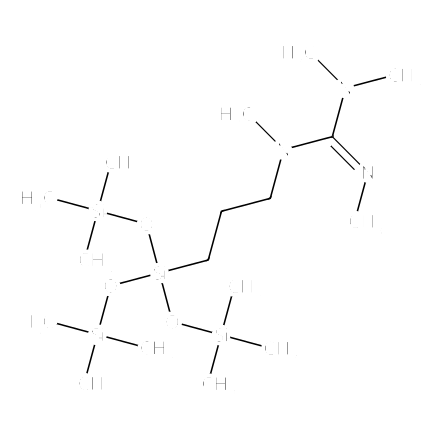 CN=C(N(C)C)N(C)CCC[Si](O[Si](C)(C)C)(O[Si](C)(C)C)O[Si](C)(C)C